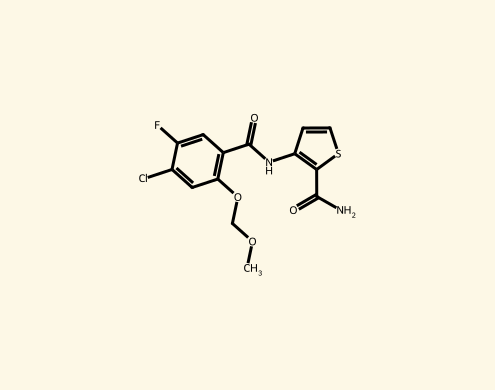 COCOc1cc(Cl)c(F)cc1C(=O)Nc1ccsc1C(N)=O